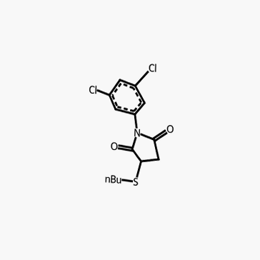 CCCCSC1CC(=O)N(c2cc(Cl)cc(Cl)c2)C1=O